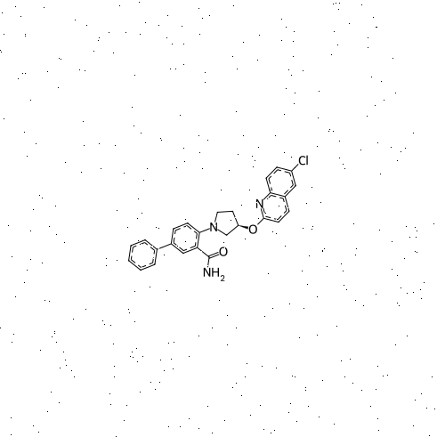 NC(=O)c1cc(-c2ccccc2)ccc1N1CC[C@@H](Oc2ccc3cc(Cl)ccc3n2)C1